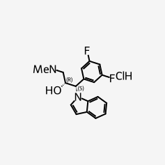 CNC[C@@H](O)[C@H](c1cc(F)cc(F)c1)n1ccc2ccccc21.Cl